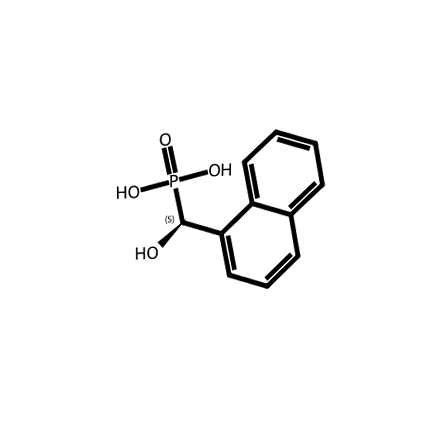 O=P(O)(O)[C@H](O)c1cccc2ccccc12